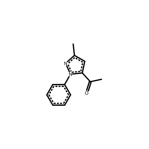 CC(=O)c1cc(C)nn1-c1ccccc1